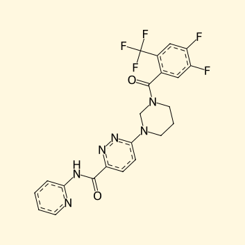 O=C(Nc1ccccn1)c1ccc(N2CCCN(C(=O)c3cc(F)c(F)cc3C(F)(F)F)C2)nn1